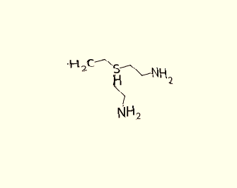 [CH2]C[SH](CCN)CCN